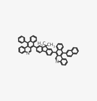 CC1(C)c2cc(-c3c4ccccc4c(-c4ccccc4)c4c3cnc3ccccc34)ccc2-c2ccc(-c3c4ccccc4c(-c4ccc5ccccc5c4)c4c3cnc3ccccc34)cc21